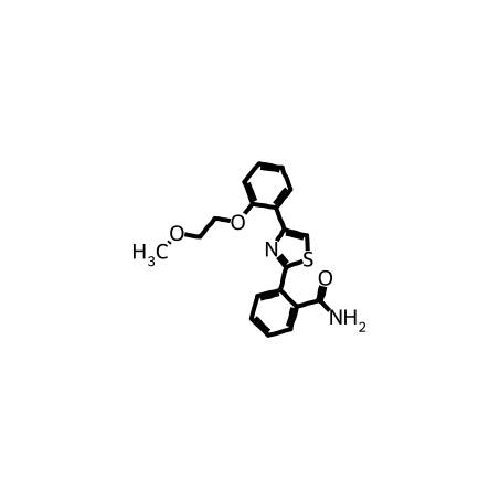 COCCOc1ccccc1-c1csc(-c2ccccc2C(N)=O)n1